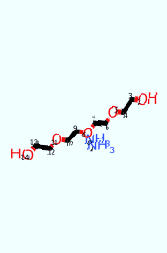 N.N.OCCOCCOCCOCCO